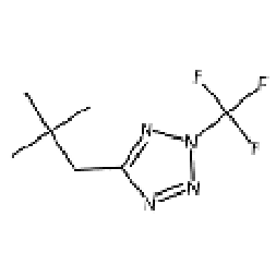 CC(C)(C)Cc1nnn(C(F)(F)F)n1